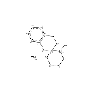 CN1CCCCC12CCc1ccccc1C2.Cl